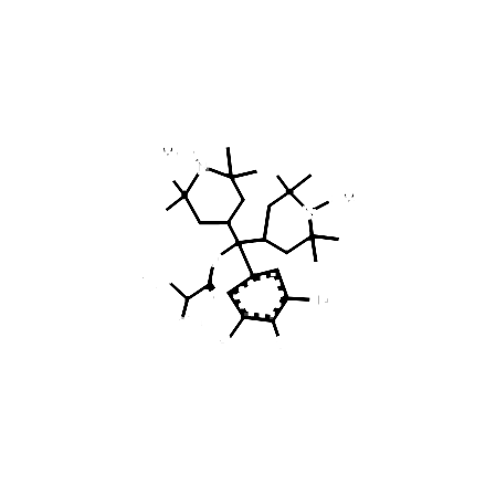 CCCCC(C(=O)O)C(=O)OC(c1cc(C(C)(C)C)c(O)c(C(C)(C)C)c1)(C1CC(C)(C)N(OC)C(C)(C)C1)C1CC(C)(C)N(OC)C(C)(C)C1